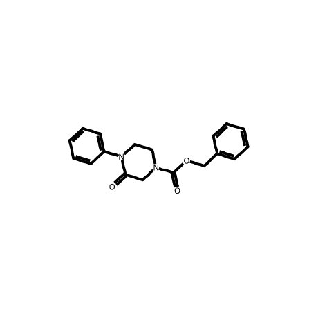 O=C(OCc1ccccc1)N1CCN(c2ccccc2)C(=O)C1